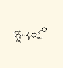 COc1cc(NC(=O)CSc2nc(N)nc3nc[nH]c23)ccc1OCc1ccccc1